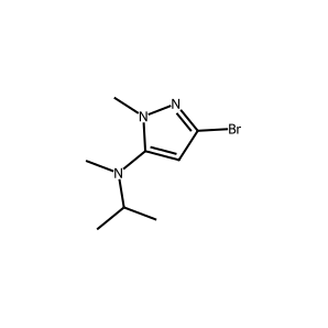 CC(C)N(C)c1cc(Br)nn1C